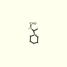 CC(O[C]=O)N1CCCCC1